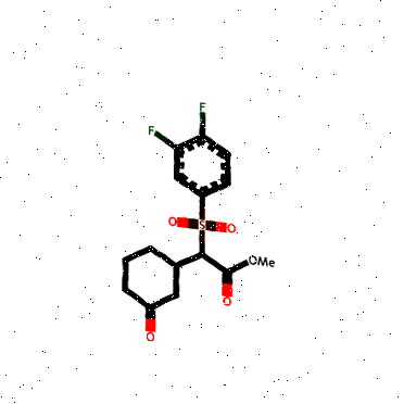 COC(=O)C(C1CCCC(=O)C1)S(=O)(=O)c1ccc(F)c(F)c1